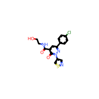 O=C(NCCO)c1cc(-c2ccc(Cl)cc2)nn(-c2cnsc2)c1=O